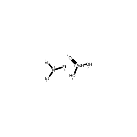 CCN(CC)CC.O=[AsH](O)O